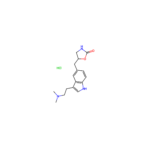 CN(C)CCc1c[nH]c2ccc(CC3CNC(=O)O3)cc12.Cl